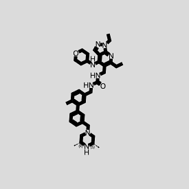 CCc1nc2c(cnn2CC)c(NC2CCOCC2)c1CNC(=O)NCc1ccc(C)c(-c2cccc(CN3C[C@@H](C)N[C@@H](C)C3)c2)c1